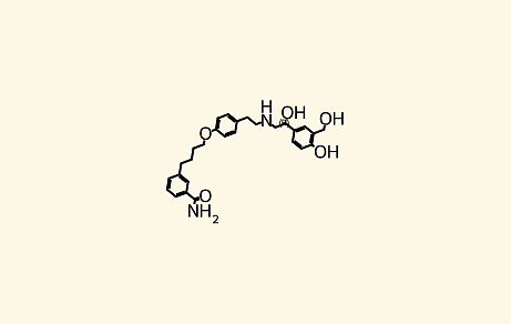 NC(=O)c1cccc(CCCCOc2ccc(CCNC[C@H](O)c3ccc(O)c(CO)c3)cc2)c1